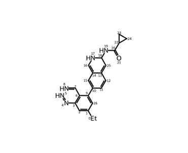 CCc1cc(N=N)c(C=N)c(-c2ccc3c(c2)=CNC(NC(=O)C2CC2)C=3)c1